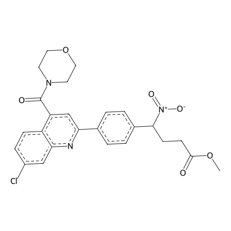 COC(=O)CCC(c1ccc(-c2cc(C(=O)N3CCOCC3)c3ccc(Cl)cc3n2)cc1)[N+](=O)[O-]